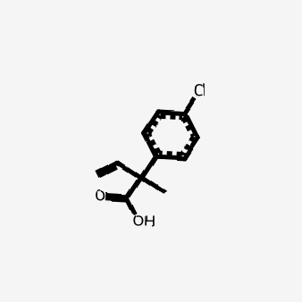 C=CC(C)(C(=O)O)c1ccc(Cl)cc1